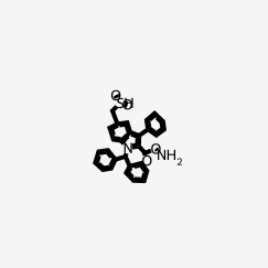 NOC(=O)c1c(-c2ccccc2)c2cc(C[SH](=O)=O)ccc2n1C(c1ccccc1)c1ccccc1